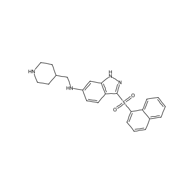 O=S(=O)(c1cccc2ccccc12)c1n[nH]c2cc(NCC3CCNCC3)ccc12